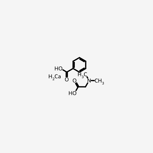 CN(C)CC(=O)O.O=C(O)c1ccccc1.[CaH2]